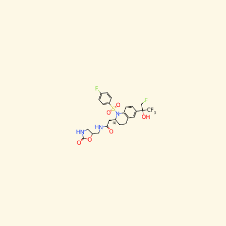 O=C(C[C@@H]1CCc2cc(C(O)(CF)C(F)(F)F)ccc2N1S(=O)(=O)c1ccc(F)cc1)NCC1CNC(=O)O1